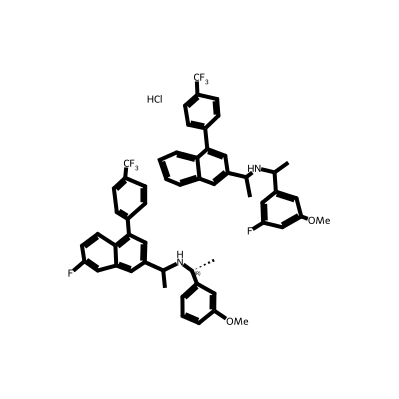 COc1cc(F)cc(C(C)NC(C)c2cc(-c3ccc(C(F)(F)F)cc3)c3ccccc3c2)c1.COc1cccc([C@@H](C)NC(C)c2cc(-c3ccc(C(F)(F)F)cc3)c3ccc(F)cc3c2)c1.Cl